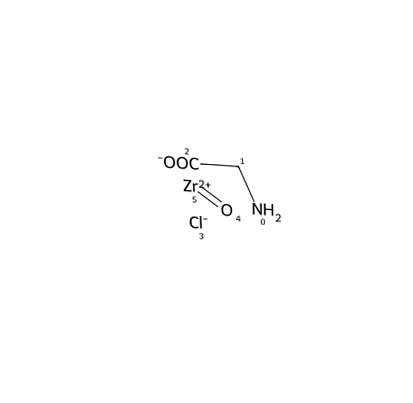 NCC(=O)[O-].[Cl-].[O]=[Zr+2]